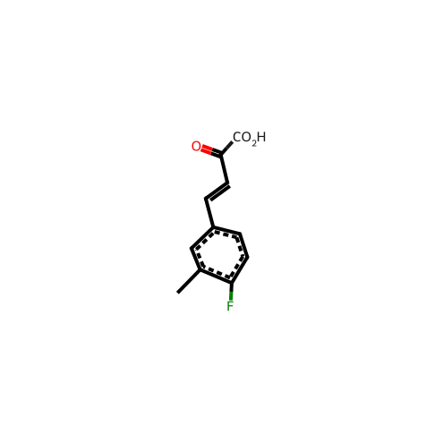 Cc1cc(C=CC(=O)C(=O)O)ccc1F